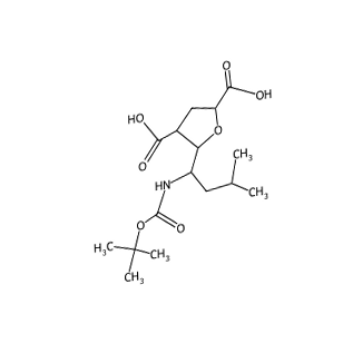 CC(C)CC(NC(=O)OC(C)(C)C)C1OC(C(=O)O)CC1C(=O)O